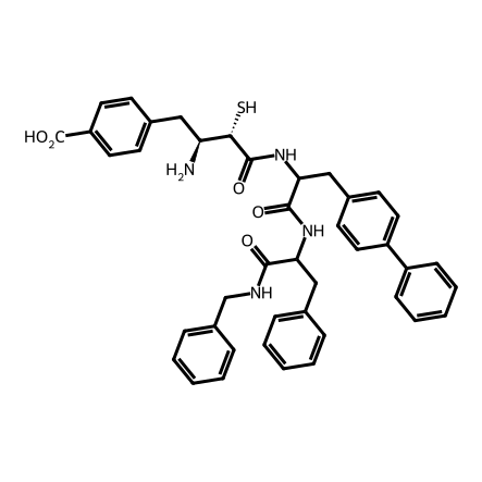 N[C@@H](Cc1ccc(C(=O)O)cc1)[C@H](S)C(=O)NC(Cc1ccc(-c2ccccc2)cc1)C(=O)NC(Cc1ccccc1)C(=O)NCc1ccccc1